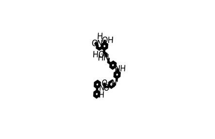 O=C(Nc1ccccc1-c1ccccc1)OC1CCN(Cc2ccc(Nc3ccc(CCNC[C@H](O)c4ccc(O)c5[nH]c(=O)ccc45)cc3)cc2)CC1